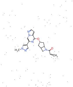 C=CC(=O)N1CC2CC(Oc3nc(-c4cnn(C)c4)cn4nccc34)CC21